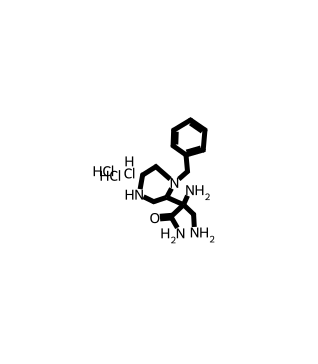 Cl.Cl.Cl.NCC(N)(C(N)=O)C1CNCCN1Cc1ccccc1